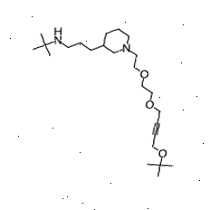 CC(C)(C)NCCCC1CCCN(CCOCCOCC#CCOC(C)(C)C)C1